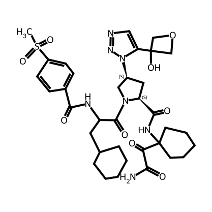 CS(=O)(=O)c1ccc(C(=O)NC(CC2CCCCC2)C(=O)N2C[C@@H](n3nncc3C3(O)COC3)C[C@H]2C(=O)NC2(C(=O)C(N)=O)CCCCC2)cc1